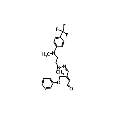 CN(CCN(C)c1ccc(C(F)(F)F)cc1)/N=C\C(=C\C=O)COc1cccnc1